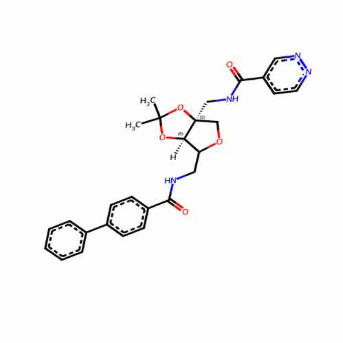 CC1(C)O[C@@H]2C(CNC(=O)c3ccc(-c4ccccc4)cc3)OC[C@]2(CNC(=O)c2ccnnc2)O1